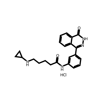 Cl.O=C(CCCCNC1CC1)Nc1cccc(-c2n[nH]c(=O)c3ccccc23)c1